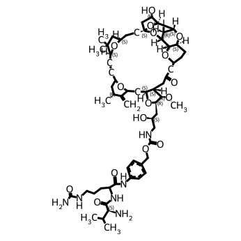 C=C1C2C[C@@H]3O[C@H](C[C@H](O)CNC(=O)OCc4ccc(NC(=O)C(CCCNC(N)=O)NC(=O)[C@@H](N)C(C)C)cc4)[C@H](OC)[C@H]3CC(=O)CC3CC[C@@H]4O[C@@H]5[C@@H](I)[C@@H](O[C@@]6(CC[C@H]7CC(C)(C)[C@H](CCC(C[C@H]1C)O2)O7)C[C@@H](O)[C@@H]5O6)[C@H]4O3